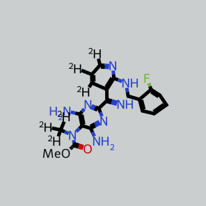 [2H]c1nc(NCc2ccccc2F)c(C(=N)c2nc(N)c(N(C(=O)OC)C([2H])([2H])[2H])c(N)n2)c([2H])c1[2H]